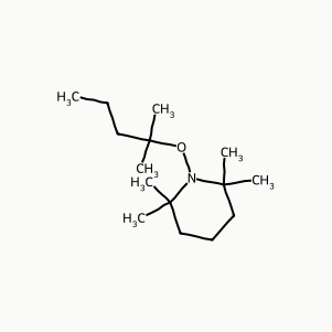 CCCC(C)(C)ON1C(C)(C)CCCC1(C)C